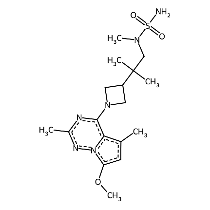 COc1cc(C)c2c(N3CC(C(C)(C)CN(C)S(N)(=O)=O)C3)nc(C)nn12